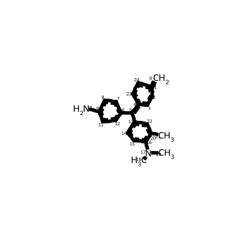 C=c1ccc(=C(c2ccc(N)cc2)c2ccc(N(C)C)c(C)c2)cc1